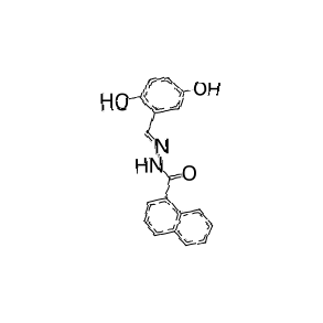 O=C(NN=Cc1cc(O)ccc1O)c1cccc2ccccc12